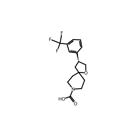 O=C(O)N1CCC2(CC1)C[C@@H](c1cccc(C(F)(F)F)c1)CO2